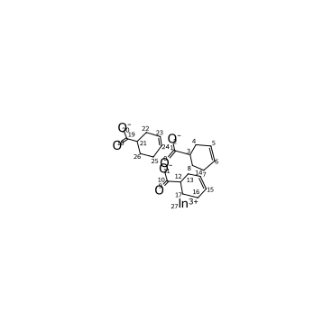 O=C([O-])C1CC=CCC1.O=C([O-])C1CC=CCC1.O=C([O-])C1CC=CCC1.[In+3]